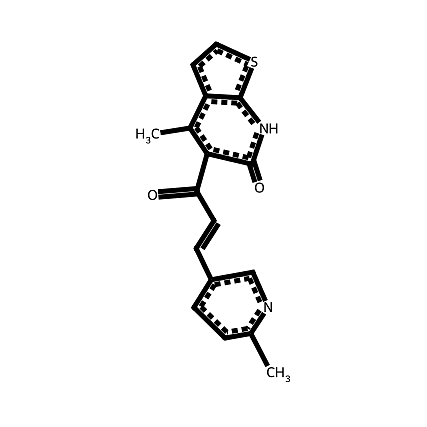 Cc1ccc(C=CC(=O)c2c(C)c3ccsc3[nH]c2=O)cn1